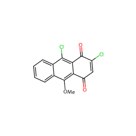 COc1c2c(c(Cl)c3ccccc13)C(=O)C(Cl)=CC2=O